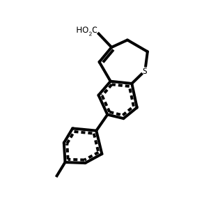 Cc1ccc(-c2ccc3c(c2)C=C(C(=O)O)CCS3)cc1